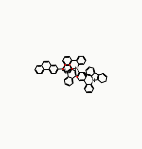 c1c(-c2ccccc2-n2c3c(c4ccccc42)C=CCC3)ccc(N(c2ccc(-c3ccc4c(ccc5ccccc54)c3)cc2)c2ccccc2-c2cccc3oc4c5ccccc5ccc4c23)c#1